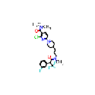 CN(C)C(=O)c1ccc(N2CCC(CCCN(C)C(=O)C(c3cccc(F)c3)C(F)(F)F)CC2)nc1Cl